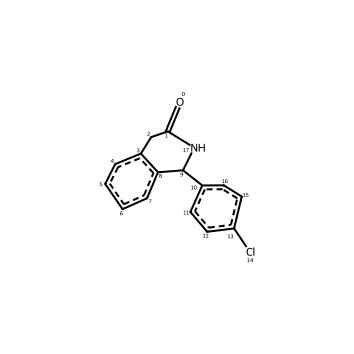 O=C1Cc2ccccc2C(c2ccc(Cl)cc2)N1